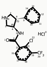 Cl.O=C(N[C@H]1CNC[C@@H]1c1ccccc1)c1cccc(C(F)(F)F)c1Cl